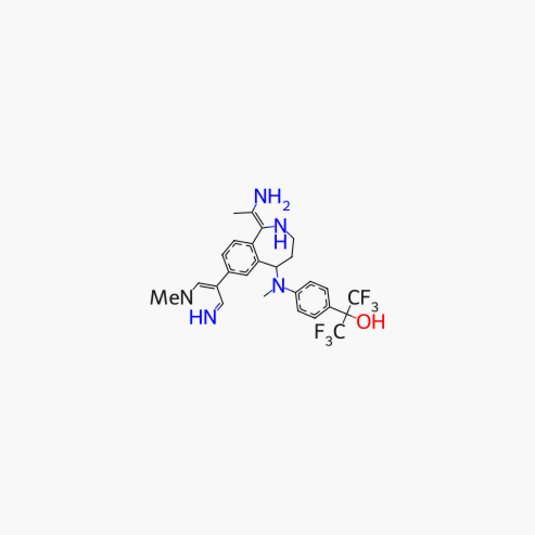 CN/C=C(\C=N)c1ccc2c(c1)C(N(C)c1ccc(C(O)(C(F)(F)F)C(F)(F)F)cc1)CCN/C2=C(/C)N